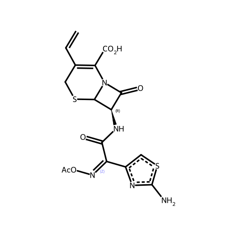 C=CC1=C(C(=O)O)N2C(=O)[C@@H](NC(=O)/C(=N\OC(C)=O)c3csc(N)n3)C2SC1